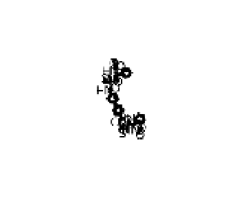 COC(=O)N[C@@H](C(=O)N1CSC[C@H]1C(=O)Nc1ccc(-c2ccc(NC(=O)[C@@H]3CSCN3C(=O)[C@H](NC(=O)OC)c3ccccc3)cc2)cc1)c1ccccc1